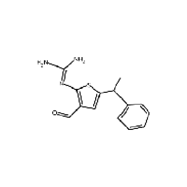 CC(c1ccccc1)c1cc(C=O)c(N=C(N)N)s1